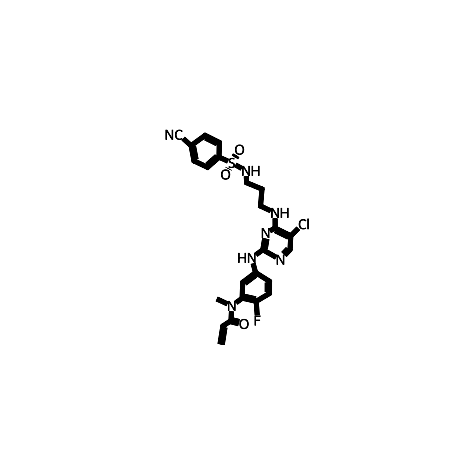 C=CC(=O)N(C)c1cc(Nc2ncc(Cl)c(NCCCNS(=O)(=O)c3ccc(C#N)cc3)n2)ccc1F